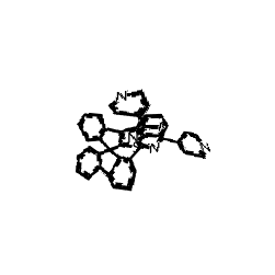 c1ccc2c(c1)-c1cccc(-c3nc(-c4ccncc4)nc(-c4ccncc4)n3)c1C21c2ccccc2-c2c1sc1ccccc21